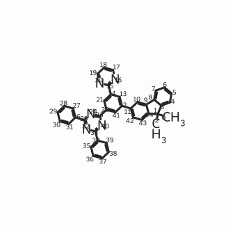 CC1(C)c2ccccc2-c2cc(-c3cc(-c4ncccn4)cc(-c4nc(-c5ccccc5)nc(-c5ccccc5)n4)c3)ccc21